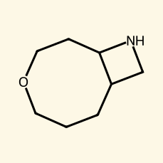 C1COCCC2NCC2C1